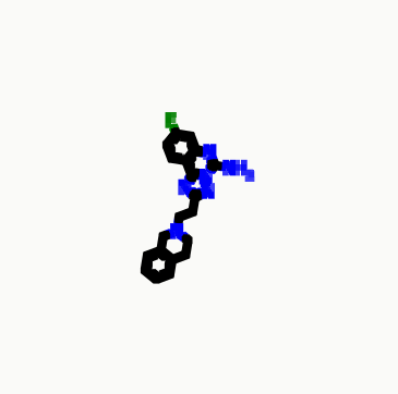 Nc1nc2cc(F)ccc2c2nc(CCN3CCc4ccccc4C3)nn12